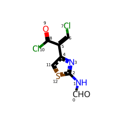 O=CNc1nc(C(=CCl)C(=O)Cl)cs1